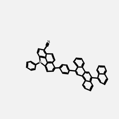 N#Cc1ccc2c3c1ccc1c(-c4ccc(-c5cc6c7ccccc7c(-c7cccc8ccccc78)cc6c6ccccc56)cc4)ccc(c13)n2-c1ccccc1